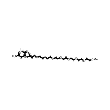 COCCOCCOCCOCCOCCOCCOCCOCCC(=O)NC(CC(N)=O)C(N)=O